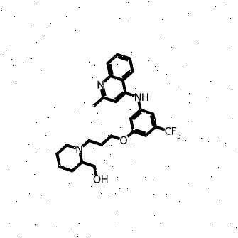 Cc1cc(Nc2cc(OCCCN3CCCCC3CO)cc(C(F)(F)F)c2)c2ccccc2n1